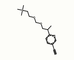 C#Cc1ccc(C(C)COCOCC[Si](C)(C)C)nc1